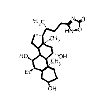 CC[C@@H]1C2C[C@H](O)CC[C@]2(C)C2C(C3CC[C@H]([C@H](C)CCc4nc(=O)o[nH]4)[C@@]3(C)C[C@@H]2O)[C@@H]1O